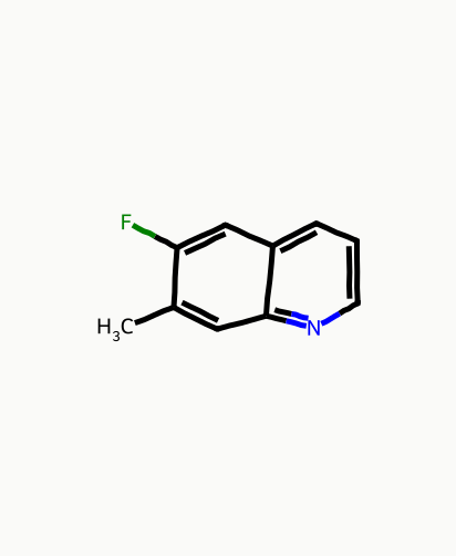 Cc1cc2ncccc2cc1F